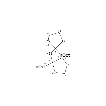 CCCCCCCCC1(OC2(CCCCCCCC)CCCO2)CCCO1